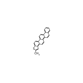 Cc1cc2c(ccc3c2ccc2c4ccc5ccccc5c4ccc32)s1